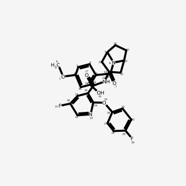 COc1ccc(C(=O)N2C3CCC2CC(NC(=O)c2cc(F)cnc2Oc2ccc(F)cc2)C3)c(O)c1